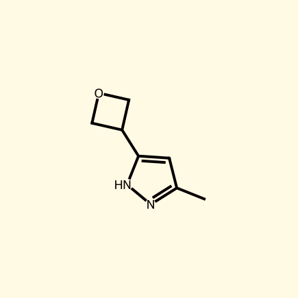 Cc1cc(C2COC2)[nH]n1